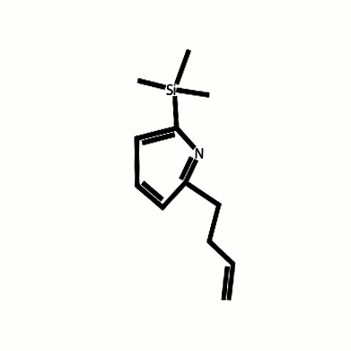 C=CCCc1cccc([Si](C)(C)C)n1